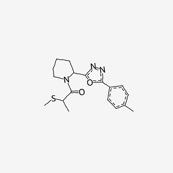 CSC(C)C(=O)N1CCCCC1c1nnc(-c2ccc(C)cc2)o1